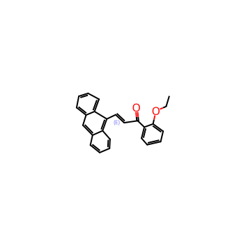 CCOc1ccccc1C(=O)/C=C/c1c2ccccc2cc2ccccc12